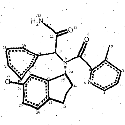 Cc1cccnc1C(=O)N(C(C(N)=O)c1ccccc1)[C@@H]1CCc2ccc(Cl)cc21